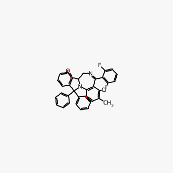 Cc1ccc2c(c1Cl)C(c1c(F)cccc1F)=NCC(C=O)N2C(c1ccccc1)(c1ccccc1)c1ccccc1